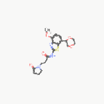 COc1ccc(C2COCCO2)c2sc(NC(=O)CCN3CCCC3=O)nc12